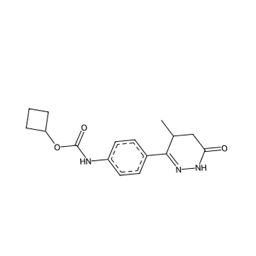 CC1CC(=O)NN=C1c1ccc(NC(=O)OC2CCC2)cc1